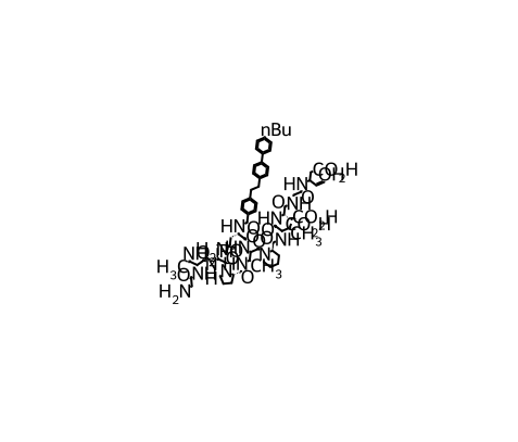 CCCCc1ccc(-c2ccc(CCc3ccc(C(=O)N[C@@H](CC(N)=O)C(=O)NC(C(=O)N4CCCC[C@@H]4C(=O)N[C@H](C(=O)N[C@@H](CC(=O)O)C(=O)NCC(=O)NC(/C=C\O)CC(=O)O)C(C)C(=O)O)[C@@H](C)NC(=O)[C@@H]4CCCN4C(=O)[C@@H](NC(=O)[C@H](NC(=O)CN)C(C)N)C(C)C)cc3)cc2)cc1